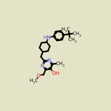 COCc1nc(CC2CCC(Nc3ccc(C(C)(C)C)cc3)CC2)nc(C)c1O